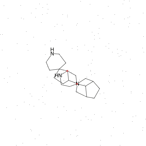 C1CC(C2C3CCC2CN(C2CCC4(CCNCC4)C2)C3)CCN1